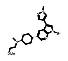 COCCN(C)[C@H]1CC[C@H](c2cnc3c(c2)c(-c2cnn(C)c2)cn3S)CC1